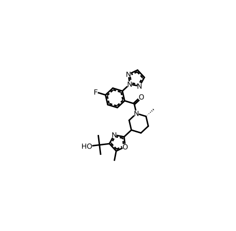 Cc1oc(C2CC[C@@H](C)N(C(=O)c3ccc(F)cc3-n3nccn3)C2)nc1C(C)(C)O